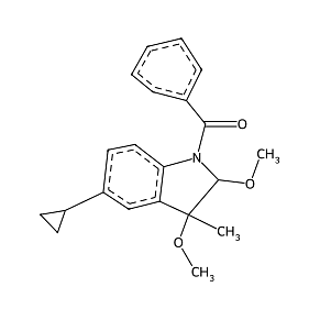 COC1N(C(=O)c2ccccc2)c2ccc(C3CC3)cc2C1(C)OC